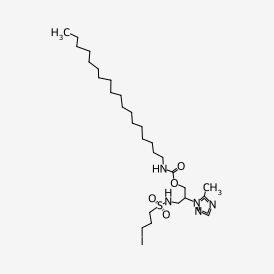 CCCCCCCCCCCCCCCCCCNC(=O)OCC(CNS(=O)(=O)CCCI)n1ncnc1C